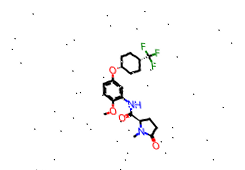 COc1ccc(O[C@H]2CC[C@@H](C(F)(F)F)CC2)cc1NC(=O)[C@H]1CCC(=O)N1C